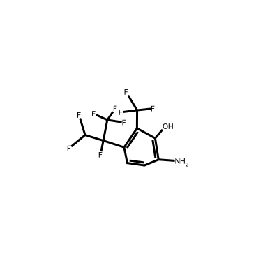 Nc1ccc(C(F)(C(F)F)C(F)(F)F)c(C(F)(F)F)c1O